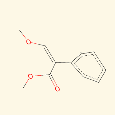 COC=C(C(=O)OC)c1[c]cccc1